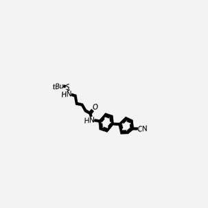 CC(C)(C)SNCCCCC(=O)Nc1ccc(-c2ccc(C#N)cc2)cc1